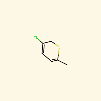 CC1=CC=C(Cl)CS1